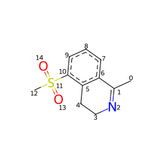 CC1=NCCc2c1cccc2S(C)(=O)=O